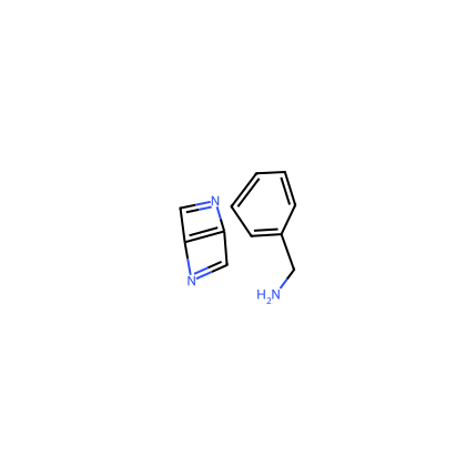 NCc1ccccc1.c1nc2cnc1=2